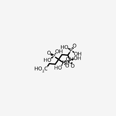 O=C(O)CCC(CC(P(=O)(O)O)P(=O)(O)O)(P(=O)(O)O)P(=O)(O)O